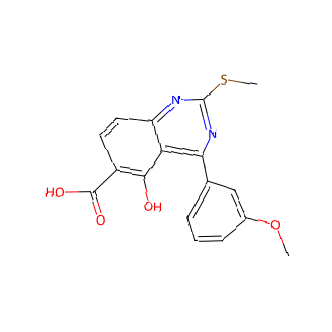 COc1cccc(-c2nc(SC)nc3ccc(C(=O)O)c(O)c23)c1